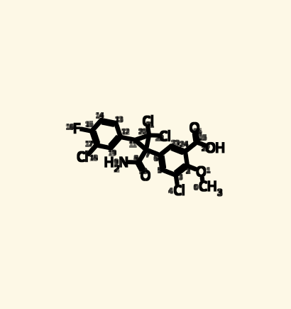 COc1c(Cl)cc(C2(C(N)=O)C(c3ccc(F)c(Cl)c3)C2(Cl)Cl)cc1C(=O)O